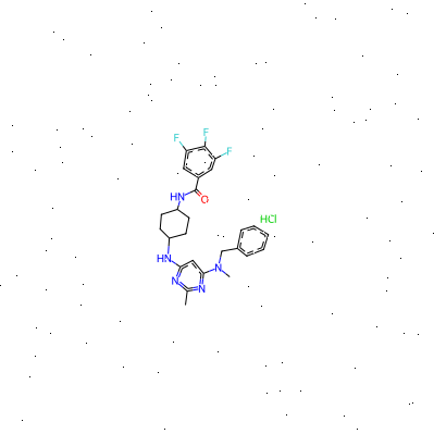 Cc1nc(NC2CCC(NC(=O)c3cc(F)c(F)c(F)c3)CC2)cc(N(C)Cc2ccccc2)n1.Cl